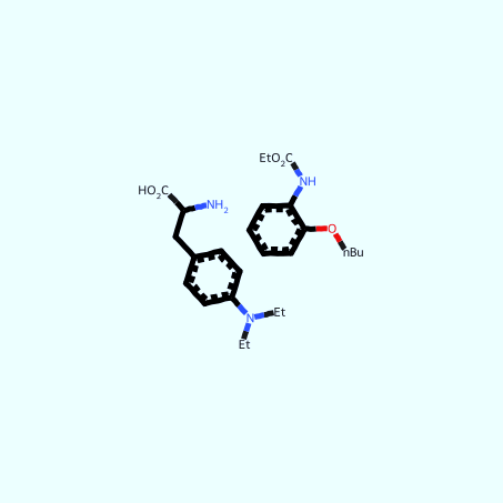 CCCCOc1ccccc1NC(=O)OCC.CCN(CC)c1ccc(CC(N)C(=O)O)cc1